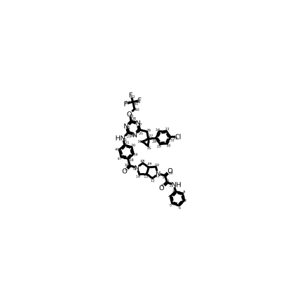 O=C(Nc1ccccc1)C(=O)N1CC2CN(C(=O)c3ccc(Nc4nc(CC5(c6ccc(Cl)cc6)CC5)nc(OCC(F)(F)F)n4)cc3)CC2C1